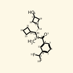 CN(C(=O)c1cccc(C(F)F)c1)[C@@H](CN1CC(O)C1)C1CCC1